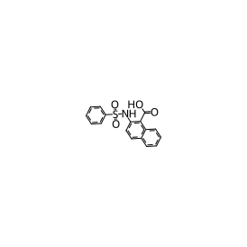 O=C(O)c1c(NS(=O)(=O)c2ccccc2)ccc2ccccc12